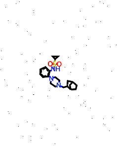 O=S(=O)(Nc1ccccc1N1CCN(CC2CC3CCC2C3)CC1)C1CC1